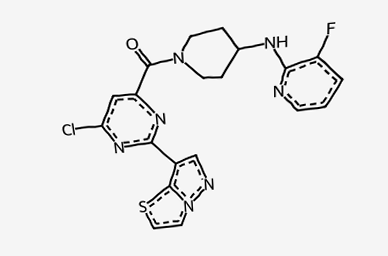 O=C(c1cc(Cl)nc(-c2cnn3ccsc23)n1)N1CCC(Nc2ncccc2F)CC1